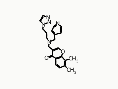 Cc1ccc2c(=O)c(CN(CCCn3ccnn3)Cc3ccncc3)coc2c1C